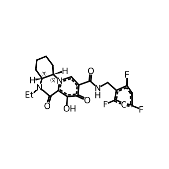 CCN1C(=O)c2c(O)c(=O)c(C(=O)NCc3c(F)cc(F)cc3F)cn2[C@H]2CCCC[C@H]21